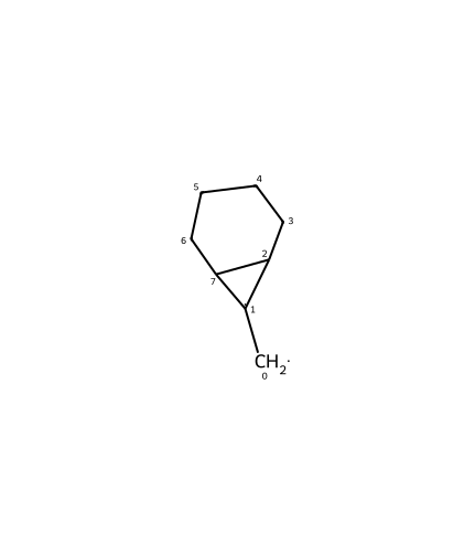 [CH2][C]1C2CCCCC12